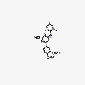 COc1ccc(-c2c/c(=N/c3c(C)cc(C)cc3C)n(C)cn2)cc1OC.Cl